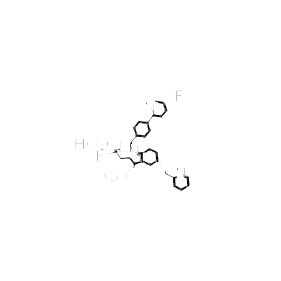 CCC(CC)(Cc1c(SC(C)(C)C)c2cc(OCc3ccccn3)ccc2n1Cc1ccc(-c2ccc(C(F)(F)F)cn2)cc1)C(=O)O